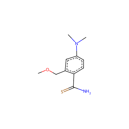 COCc1cc(N(C)C)ccc1C(N)=S